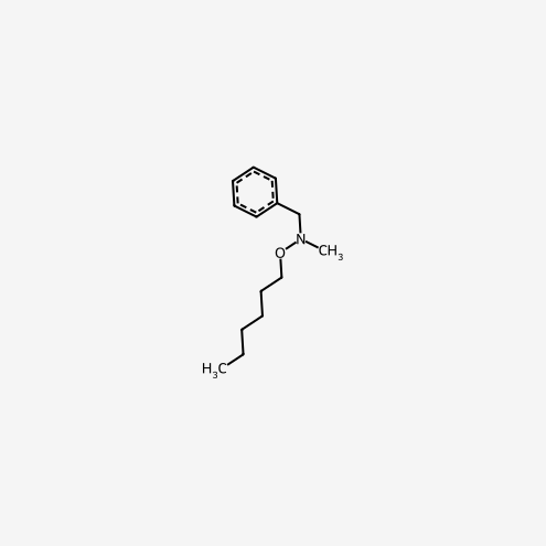 CCCCCCON(C)Cc1ccccc1